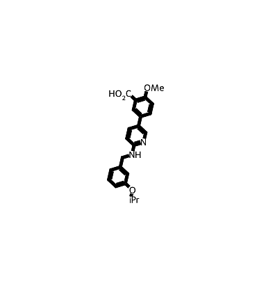 COc1ccc(-c2ccc(NCc3cccc(OC(C)C)c3)nc2)cc1C(=O)O